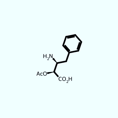 CC(=O)O[C@H](C(=O)O)[C@@H](N)Cc1ccccc1